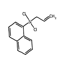 C=CC[Si](Cl)(Cl)c1cccc2ccccc12